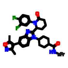 CCCNC(=O)C1CCC(n2c(C3CCCC(=O)N3c3ccc(F)c(F)c3)nc3cc(-c4c(C)noc4C)ccc32)CC1